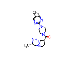 C[C@H](N)CN1CC[C@H](C(=O)N2CCN(c3ncc(C(F)(F)F)cn3)CC2)C1